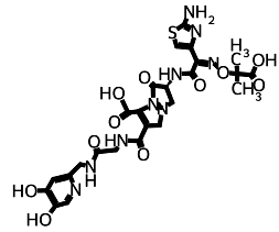 CC(C)(O/N=C(\C(=O)N[C@H]1CN2CC(C(=O)NCC(=O)NCc3cc(O)c(O)cn3)=C(C(=O)O)N2C1=O)c1csc(N)n1)C(=O)O